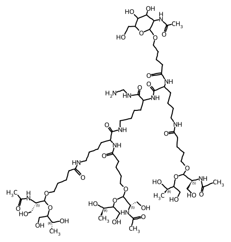 CC(=O)NC1C(OCCCCC(=O)NC(CCCCNC(=O)CCCCOC(OC(CO)[C@@H](C)O)[C@H](CO)NC(C)=O)C(=O)NC(CCCCNC(=O)C(CCCCNC(=O)CCCCOC(OC(CO)[C@@H](C)O)[C@H](CO)NC(C)=O)NC(=O)CCCCOC(OC(CO)[C@@H](C)O)[C@H](CO)NC(C)=O)C(=O)NCN)OC(CO)C(O)C1O